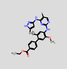 CCOC(=O)c1ccc(-c2cc(OC)c(Nc3ncc(I)c(Nc4cc(C)[nH]n4)n3)cc2C)cc1